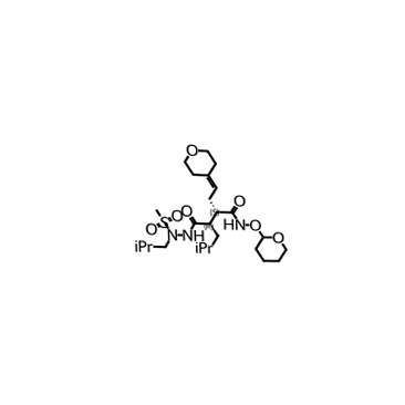 CC(C)C[C@@H](C(=O)NN(CC(C)C)S(C)(=O)=O)[C@H](CC=C1CCOCC1)C(=O)NOC1CCCCO1